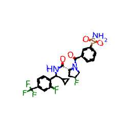 NS(=O)(=O)c1cccc(C(=O)N2C[C@@H](F)C[C@@H]2C(=O)NC(c2ccc(C(F)(F)F)cc2F)C2CC2)c1